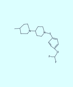 CC1CCN(C2CCN(Sc3ccc(OC(F)F)cc3)CC2)CC1